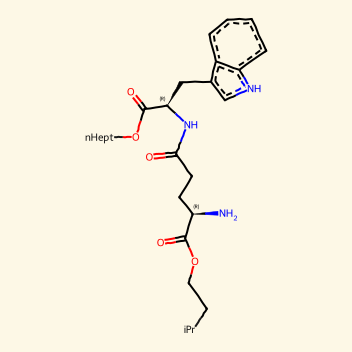 CCCCCCCOC(=O)[C@@H](Cc1c[nH]c2ccccc12)NC(=O)CC[C@@H](N)C(=O)OCCC(C)C